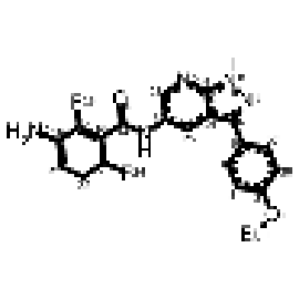 CCOc1ccc(-c2n[nH]c3ncc(NC(=O)C4=C(F)C(N)=CCC4F)cc23)cc1